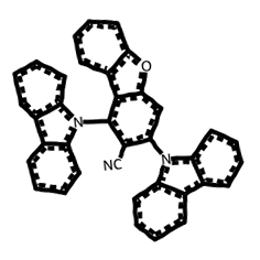 N#Cc1c(-n2c3ccccc3c3ccccc32)cc2oc3ccccc3c2c1-n1c2ccccc2c2ccccc21